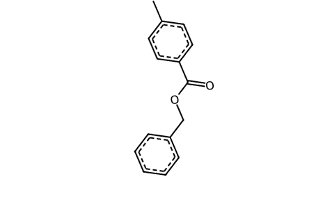 Cc1ccc(C(=O)OCc2ccccc2)cc1